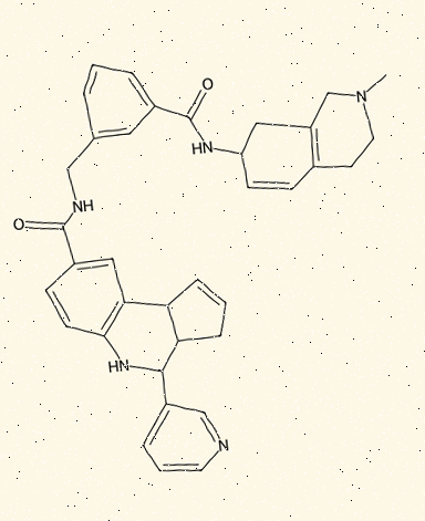 CN1CCC2=C(CC(NC(=O)c3cccc(CNC(=O)c4ccc5c(c4)C4C=CCC4C(c4cccnc4)N5)c3)C=C2)C1